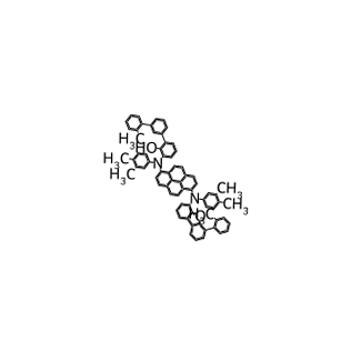 Cc1ccc(N(c2cccc(-c3cccc(-c4ccccc4C)c3)c2O)c2ccc3ccc4c(N(c5ccc(C)c(C)c5)c5cccc6c5oc5c(-c7ccccc7C)cccc56)ccc5ccc2c3c54)cc1C